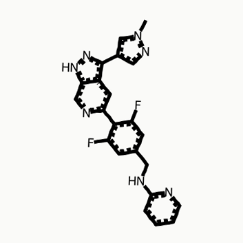 Cn1cc(-c2n[nH]c3cnc(-c4c(F)cc(CNc5ccccn5)cc4F)cc23)cn1